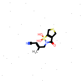 CC(=CC#N)CN1C(=O)C2=C(CSC2)S1(O)O